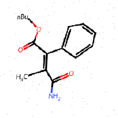 CCCCOC(=O)C(=C(C)C(N)=O)c1ccccc1